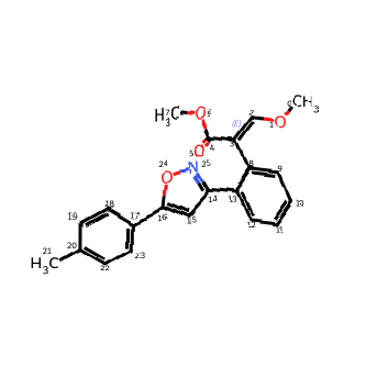 CO/C=C(/C(=O)OC)c1ccccc1-c1cc(-c2ccc(C)cc2)on1